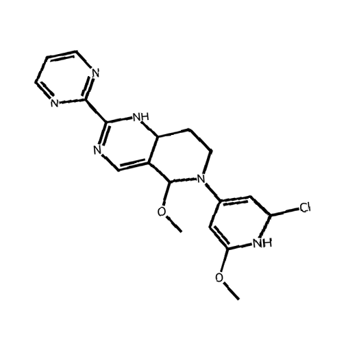 COC1=CC(N2CCC3NC(c4ncccn4)=NC=C3C2OC)=CC(Cl)N1